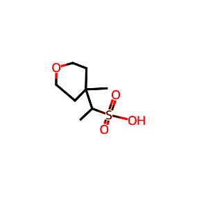 CC(C1(C)CCOCC1)S(=O)(=O)O